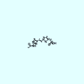 CC(=O)Nc1nc(C=Cc2ccc(CC(=O)O)s2)cs1